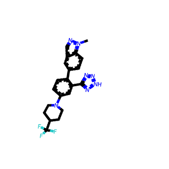 Cn1ncc2cc(-c3ccc(N4CCC(C(F)(F)F)CC4)cc3-c3nn[nH]n3)ccc21